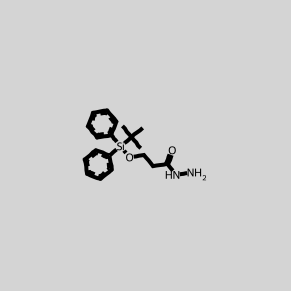 CC(C)(C)[Si](OCCC(=O)NN)(c1ccccc1)c1ccccc1